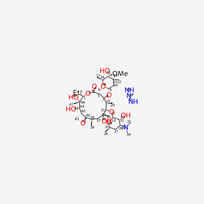 CC[C@H]1OC(=O)[C@H](C)[C@@H](O[C@H]2C[C@@](C)(OC)[C@@H](O)[C@H](C)O2)[C@@H](C)[C@@H](O[C@@H]2O[C@H](C)C[C@H](N(C)C)[C@H]2O)[C@](C)(O)C[C@@H](C)C(=O)[C@H](C)[C@H](O)[C@]1(C)O.N=[N+]=N